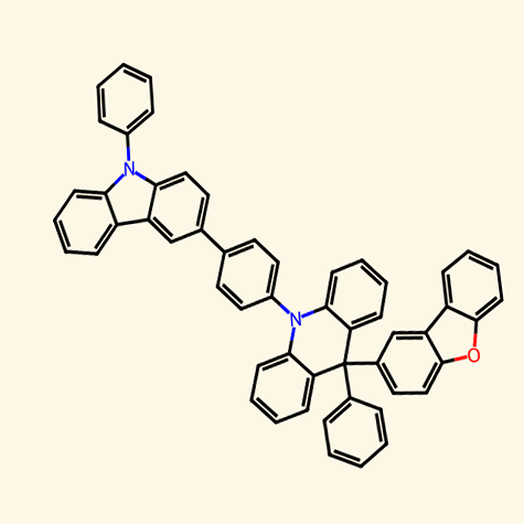 c1ccc(-n2c3ccccc3c3cc(-c4ccc(N5c6ccccc6C(c6ccccc6)(c6ccc7oc8ccccc8c7c6)c6ccccc65)cc4)ccc32)cc1